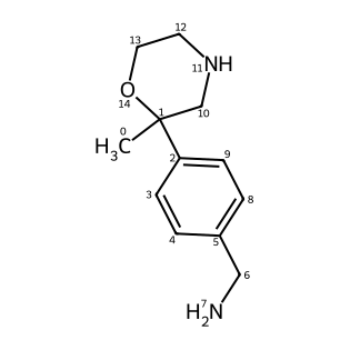 CC1(c2ccc(CN)cc2)CNCCO1